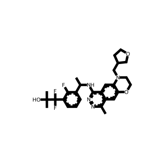 Cc1nnc(NC(C)c2cccc(C(F)(F)C(C)(C)O)c2F)c2cc3c(cc12)OCCN3CC1CCOC1